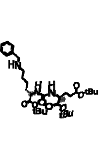 CC(C)(C)OC(=O)CC[C@H](NC(=O)N[C@@H](CCCCNCc1ccccc1)C(=O)OC(C)(C)C)C(=O)OC(C)(C)C